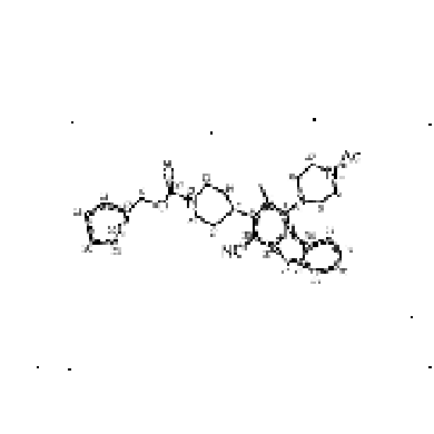 CC(=O)N1CCN(c2c(C)c(C3CCN(C(=O)OCc4ccccc4)CC3)c(C#N)c3nc4ccccc4n23)CC1